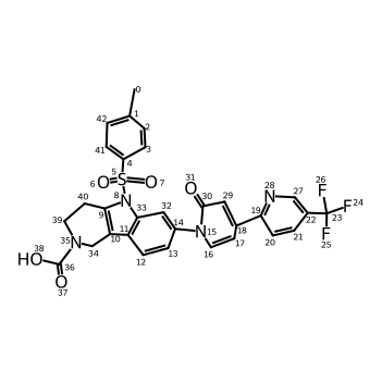 Cc1ccc(S(=O)(=O)n2c3c(c4ccc(-n5ccc(-c6ccc(C(F)(F)F)cn6)cc5=O)cc42)CN(C(=O)O)CC3)cc1